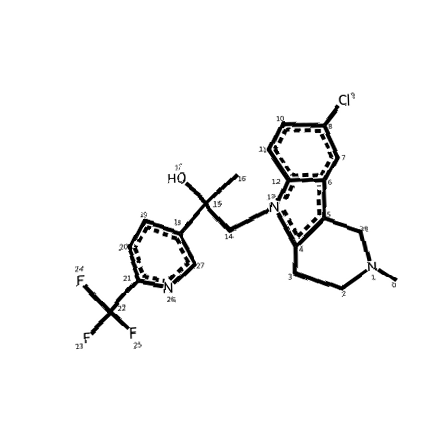 CN1CCc2c(c3cc(Cl)ccc3n2CC(C)(O)c2ccc(C(F)(F)F)nc2)C1